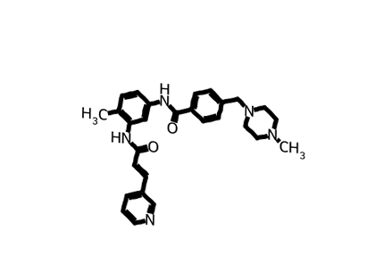 Cc1ccc(NC(=O)c2ccc(CN3CCN(C)CC3)cc2)cc1NC(=O)/C=C/c1cccnc1